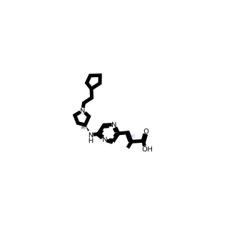 C/C(=C\c1cnc(N[C@@H]2CCN(CCC3CCCC3)C2)cn1)C(=O)O